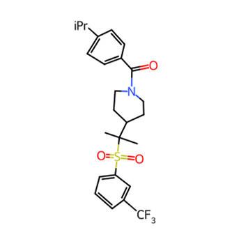 CC(C)c1ccc(C(=O)N2CCC(C(C)(C)S(=O)(=O)c3cccc(C(F)(F)F)c3)CC2)cc1